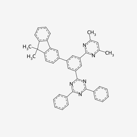 Cc1cc(C)nc(-c2cc(-c3ccc4c(c3)-c3ccccc3C4(C)C)cc(-c3nc(-c4ccccc4)nc(-c4ccccc4)n3)c2)n1